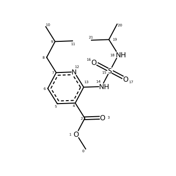 COC(=O)c1ccc(CC(C)C)nc1NS(=O)(=O)NC(C)C